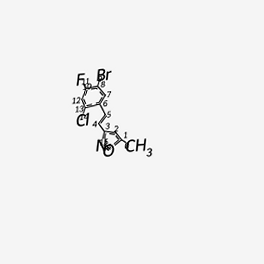 Cc1cc(C=Cc2cc(Br)c(F)cc2Cl)no1